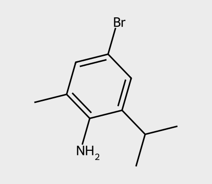 Cc1cc(Br)cc(C(C)C)c1N